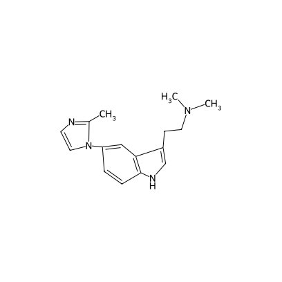 Cc1nccn1-c1ccc2[nH]cc(CCN(C)C)c2c1